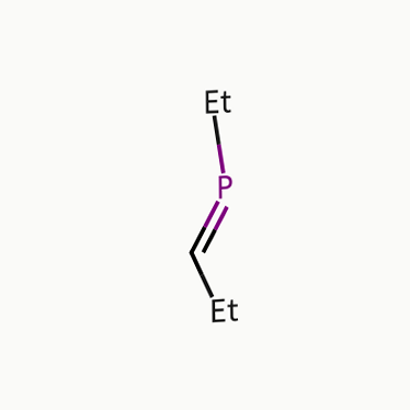 CC/C=P/CC